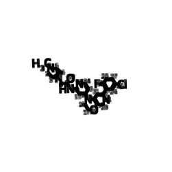 CN1CC2CC1CN2CC(=O)Nc1cc(N2CCOc3cnc(-c4cc(Cl)ccc4F)cc32)ccn1